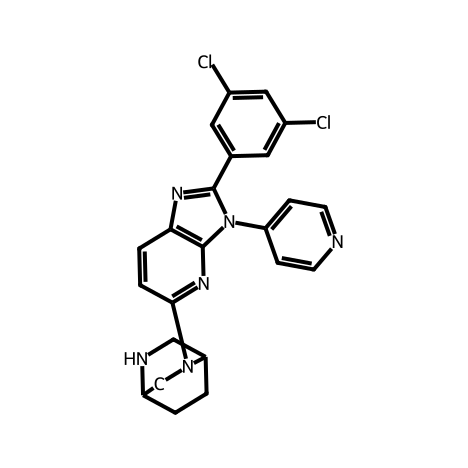 Clc1cc(Cl)cc(-c2nc3ccc(N4CC5CCC4CN5)nc3n2-c2ccncc2)c1